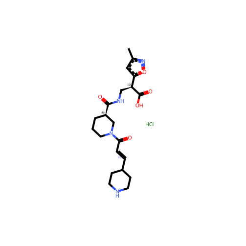 Cc1cc([C@H](CNC(=O)[C@@H]2CCCN(C(=O)/C=C/C3CCNCC3)C2)C(=O)O)on1.Cl